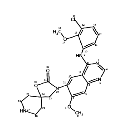 COc1cc2ncnc(Nc3cccc(Cl)c3OC)c2cc1N1CC2(CCNCC2)OC1=O